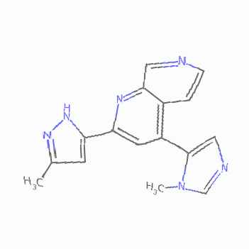 Cc1cc(-c2cc(-c3cncn3C)c3ccncc3n2)[nH]n1